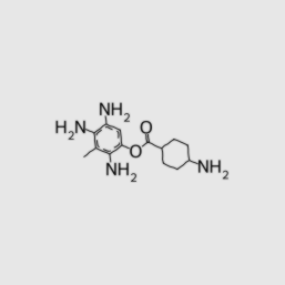 Cc1c(N)c(N)cc(OC(=O)C2CCC(N)CC2)c1N